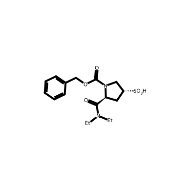 CCN(CC)C(=O)[C@@H]1C[C@@H](S(=O)(=O)O)CN1C(=O)OCc1ccccc1